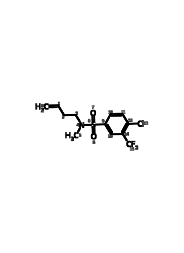 C=CCCN(C)S(=O)(=O)c1ccc(Cl)c(C(F)(F)F)c1